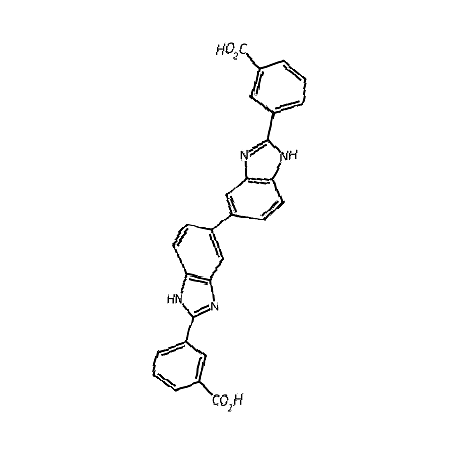 O=C(O)c1cccc(-c2nc3cc(-c4ccc5[nH]c(-c6cccc(C(=O)O)c6)nc5c4)ccc3[nH]2)c1